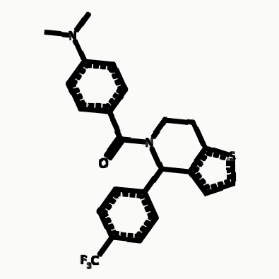 CN(C)c1ccc(C(=O)N2CCc3sccc3C2c2ccc(C(F)(F)F)cc2)cc1